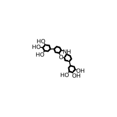 Oc1cc(-c2ccc3c(c2)Oc2cc(-c4cc(O)c(O)c(O)c4)ccc2N3)cc(O)c1O